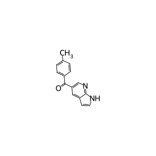 Cc1ccc(C(=O)c2cnc3[nH]ccc3c2)cc1